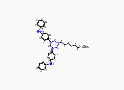 CCCCCCCCCCCCCCCCN1CN(c2ccc(Nc3ccccc3)cc2)CN(c2ccc(Nc3ccccc3)cc2)C1